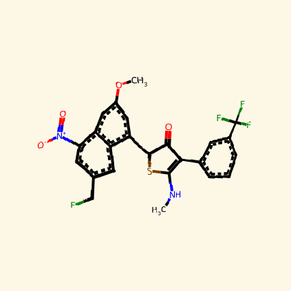 CNC1=C(c2cccc(C(F)(F)F)c2)C(=O)C(c2cc(OC)cc3c([N+](=O)[O-])cc(CF)cc23)S1